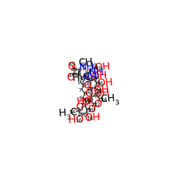 CNc1c(C(CCCCCO[C@@H]2OC(C)[C@H](O)[C@H](O)C2O[C@@H]2OC(C)[C@H](O)[C@H](O[C@@H]3OC(C)[C@H](O)[C@H](O)C3O)C2O)NCNCO)c(=O)c1=O